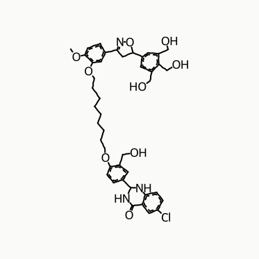 COc1ccc(C2=NOC(c3cc(CO)c(CO)c(CO)c3)C2)cc1OCCCCCCCCCOc1ccc(C2NC(=O)c3cc(Cl)ccc3N2)cc1CO